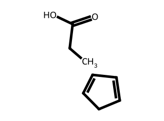 C1=CCC=C1.CCC(=O)O